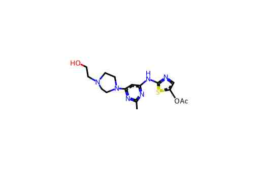 CC(=O)Oc1cnc(Nc2cc(N3CCN(CCO)CC3)nc(C)n2)s1